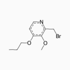 CCCOc1ccnc(CBr)c1OC